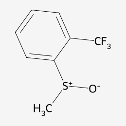 C[S+]([O-])c1ccccc1C(F)(F)F